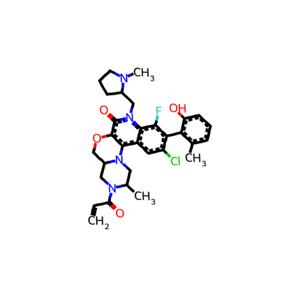 C=CC(=O)N1CC2COc3c(c4cc(Cl)c(-c5c(C)cccc5O)c(F)c4n(CC4CCCN4C)c3=O)N2CC1C